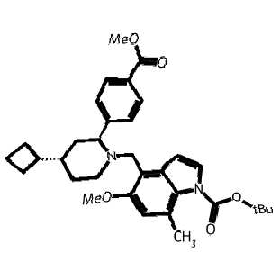 COC(=O)c1ccc([C@@H]2C[C@@H](C3CCC3)CCN2Cc2c(OC)cc(C)c3c2ccn3C(=O)OC(C)(C)C)cc1